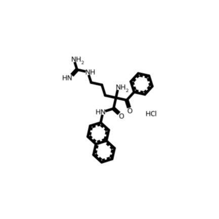 Cl.N=C(N)NCCCC(N)(C(=O)Nc1ccc2ccccc2c1)C(=O)c1ccccc1